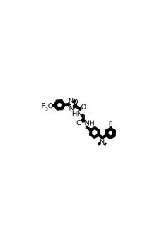 CN(C)C(c1cccc(F)c1)C1CCC(CNC(=O)CNC(=O)c2nc(-c3ccc(C(F)(F)F)cc3)no2)CC1